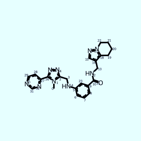 Cn1c(CNc2cccc(C(=O)NCc3cnn4c3CCCC4)c2)nnc1-c1ccncn1